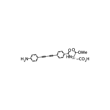 COC(=O)[C@H](CC(=O)O)NC(=O)c1ccc(C#CC#Cc2ccc(N)cc2)cc1